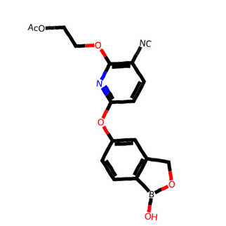 [C-]#[N+]c1ccc(Oc2ccc3c(c2)COB3O)nc1OCCOC(C)=O